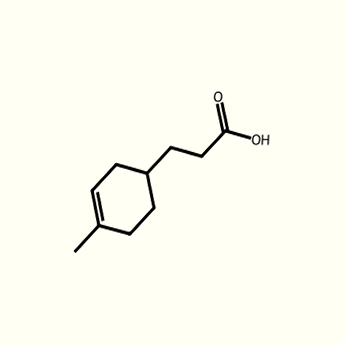 CC1=CCC(CCC(=O)O)CC1